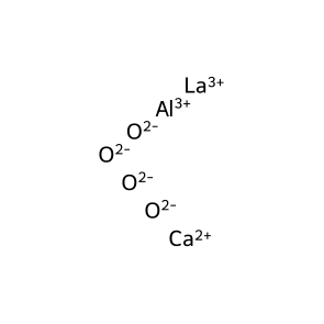 [Al+3].[Ca+2].[La+3].[O-2].[O-2].[O-2].[O-2]